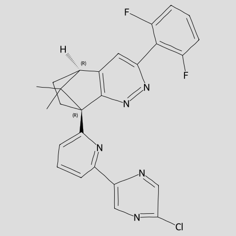 CC1(C)[C@H]2CC[C@@]1(c1cccc(-c3cnc(Cl)cn3)n1)c1nnc(-c3c(F)cccc3F)cc12